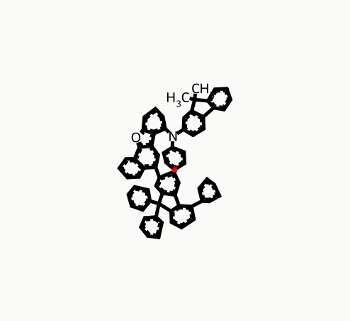 CC1(C)c2ccccc2-c2ccc(N(c3ccccc3)c3cccc4oc5c6ccccc6c(-c6ccc7c(c6)C(c6ccccc6)(c6ccccc6)c6cccc(-c8ccccc8)c6-7)cc5c34)cc21